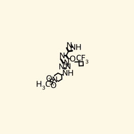 CS(=O)(=O)N1CCC(Nc2nc3cnc(-c4cn[nH]c4)c(OCC4(C(F)(F)F)CCC4)n3n2)CC1